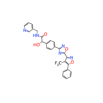 O=C(NCc1cccnc1)C(O)c1ccc(-c2noc(-c3noc(-c4ccccc4)c3C(F)(F)F)n2)cc1